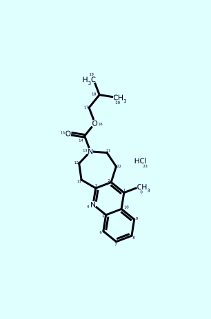 Cc1c2c(nc3ccccc13)CCN(C(=O)OCC(C)C)CC2.Cl